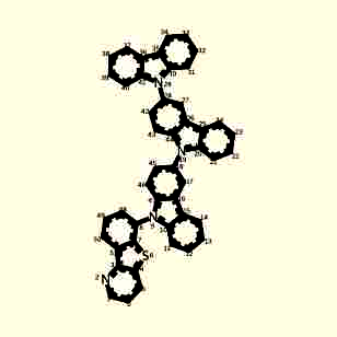 c1cnc2c(c1)sc1c(-n3c4ccccc4c4cc(-n5c6ccccc6c6cc(-n7c8ccccc8c8ccccc87)ccc65)ccc43)cccc12